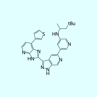 CC(CC(C)(C)C)Nc1cncc(-c2cc3c(-c4nc5c(-c6ccsc6)ccnc5[nH]4)n[nH]c3cn2)c1